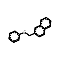 c1ccc(SCc2ccc3ccccc3c2)cc1